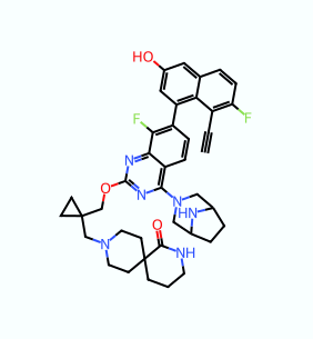 C#Cc1c(F)ccc2cc(O)cc(-c3ccc4c(N5CC6CCC(C5)N6)nc(OCC5(CN6CCC7(CCCNC7=O)CC6)CC5)nc4c3F)c12